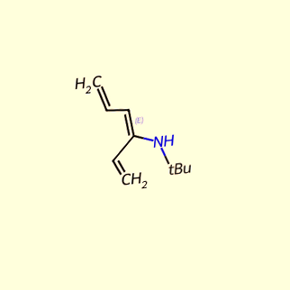 C=C/C=C(\C=C)NC(C)(C)C